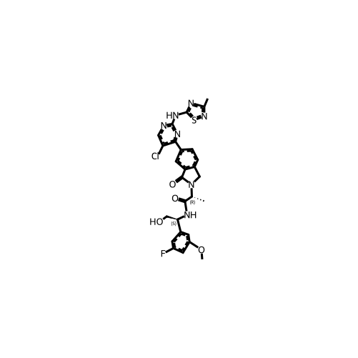 COc1cc(F)cc([C@@H](CO)NC(=O)[C@@H](C)N2Cc3ccc(-c4nc(Nc5nc(C)ns5)ncc4Cl)cc3C2=O)c1